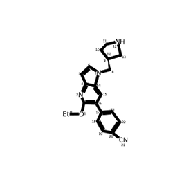 CCOc1nc2ccn(C[C@H]3CCNC3)c2cc1-c1ccc(C#N)cc1